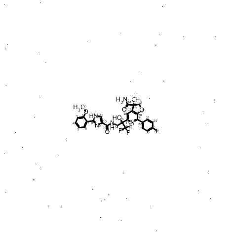 COc1ccccc1-c1nc(C(=O)NCC(O)(c2cc3c(c(-c4ccc(F)cc4)n2)OC[C@]3(C)C(N)=O)C(F)(F)F)c[nH]1